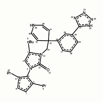 CCCCc1cn(-c2c(C(C)C)ccn2C(C)C)c(=O)n1CC1(c2cccc(-c3nnn[nH]3)c2)C=CNC=C1